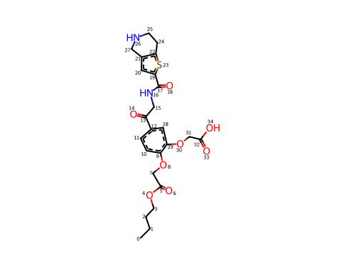 CCCCOC(=O)COc1ccc(C(=O)CNC(=O)c2cc3c(s2)CCNC3)cc1OCC(=O)O